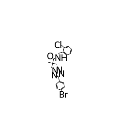 CC(C)(Cn1nnc(-c2ccc(Br)cc2)n1)C(=O)NCc1ccccc1Cl